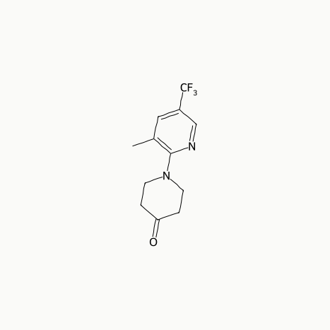 Cc1cc(C(F)(F)F)cnc1N1CCC(=O)CC1